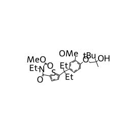 CCN(C(=O)OC)C(=O)c1ccc(C(CC)(CC)c2ccc(OCC(C)(O)C(C)(C)C)c(OC)c2)s1